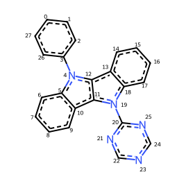 c1ccc(-n2c3ccccc3c3c2c2ccccc2n3-c2ncncn2)cc1